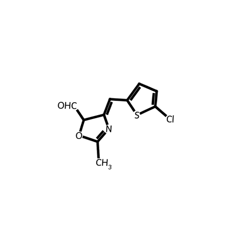 CC1=NC(=Cc2ccc(Cl)s2)C(C=O)O1